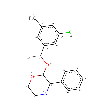 C[C@@H](OC1OCCNC1c1ccccc1)c1cc(Cl)cc(C(F)(F)F)c1